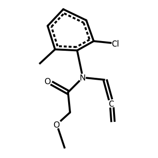 C=C=CN(C(=O)COC)c1c(C)cccc1Cl